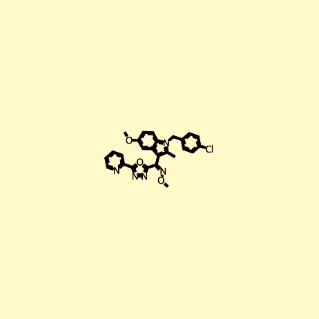 CO/N=C(\c1nnc(-c2ccccn2)o1)c1c(C)n(Cc2ccc(Cl)cc2)c2ccc(OC)cc12